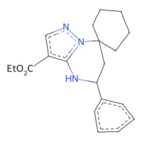 CCOC(=O)c1cnn2c1NC(c1ccccc1)CC21CCCCC1